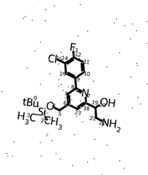 CC(C)(C)[Si](C)(C)OCc1cc(-c2ccc(F)c(Cl)c2)nc(C(O)CN)c1